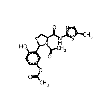 CC(=O)Oc1ccc(O)c(C2SCC(C(=O)Nc3ncc(C)s3)N2C(C)=O)c1